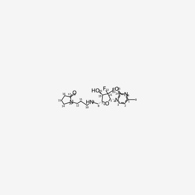 Cc1ccn([C@@H]2O[C@H](CNCCCN3CCCC3=O)[C@@H](O)C2(F)F)c(=O)n1